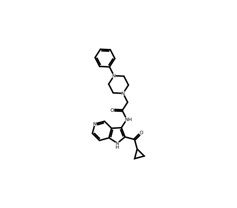 O=C(CN1CCN(c2ccccc2)CC1)Nc1c(C(=O)C2CC2)[nH]c2ccncc12